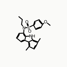 CCCN(c1cccc2c1[nH]c1c(C)ccc(C)c12)S(=O)(=O)c1ccc(OC)cc1